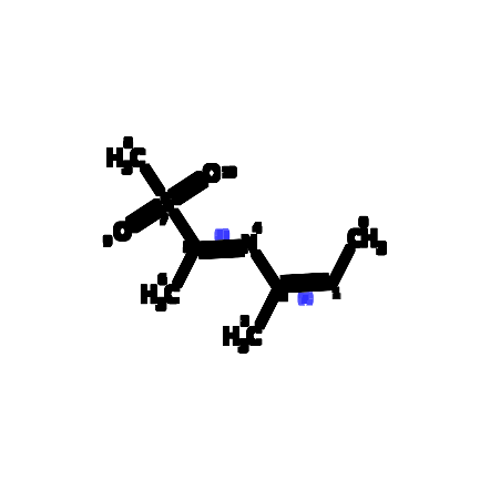 C/C=C(C)\N=C(/C)S(C)(=O)=O